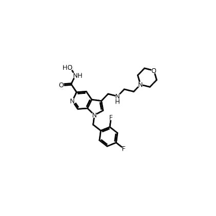 O=C(NO)c1cc2c(CNCCN3CCOCC3)cn(Cc3ccc(F)cc3F)c2cn1